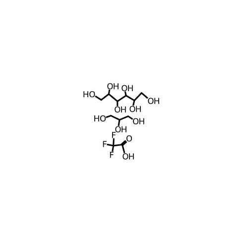 O=C(O)C(F)(F)F.OCC(O)C(O)C(O)C(O)CO.OCC(O)CO